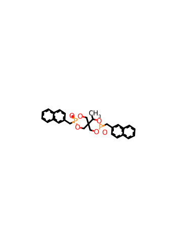 CC1OP(=O)(Cc2ccc3ccccc3c2)OCC12COP(=O)(Cc1ccc3ccccc3c1)OC2